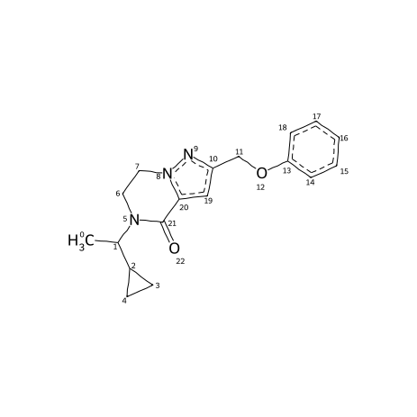 CC(C1CC1)N1CCn2nc(COc3ccccc3)cc2C1=O